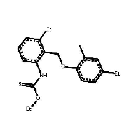 CCOC(=S)Nc1cccc(CC)c1COc1ccc(CC)cc1C